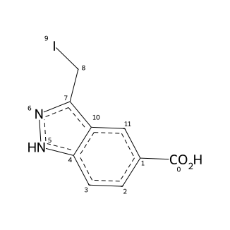 O=C(O)c1ccc2[nH]nc(CI)c2c1